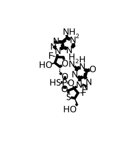 Nc1nc2c(nnn2[C@@]2(OP(=O)(S)OC[C@H]3OC[C@](F)(n4nnc5c(N)ncnc54)[C@@H]3O)CS[C@H](CO)[C@H]2F)c(=O)[nH]1